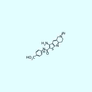 CC(C)N1CCc2nc3sc(C(=O)Nc4ccc(C(=O)O)cc4)c(N)c3cc2C1